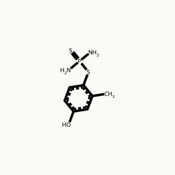 Cc1cc(O)ccc1SP(N)(N)=S